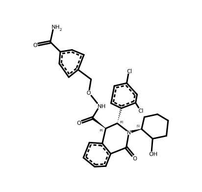 NC(=O)c1ccc(CONC(=O)[C@@H]2c3ccccc3C(=O)N([C@H]3CCCCC3O)[C@H]2c2ccc(Cl)cc2Cl)cc1